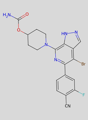 N#Cc1ccc(-c2nc(N3CCC(OC(N)=O)CC3)c3[nH]ncc3c2Br)cc1F